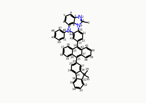 Cc1nc2cccc3c2n1-c1ccc(-c2c4ccccc4c(-c4ccc5c(c4)C(C)(C)c4ccccc4-5)c4ccccc24)cc1N3c1ccccc1